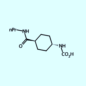 CCCNC(=O)[C@H]1CC[C@H](NC(=O)O)CC1